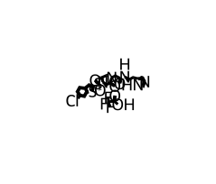 O=C(CN1CCN(S(=O)(=O)c2cc3ccc(Cl)cc3s2)CC1=O)NCCc1cnc[nH]1.O=C(O)C(F)(F)F